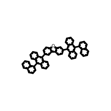 c1ccc2c(-c3c4ccccc4c(-c4ccc5c(c4)oc4ccc(-c6c7ccccc7c(-c7cccc8ccccc78)c7ccccc67)cc45)c4ccccc34)cccc2c1